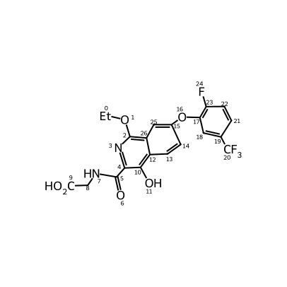 CCOc1nc(C(=O)NCC(=O)O)c(O)c2ccc(Oc3cc(C(F)(F)F)ccc3F)cc12